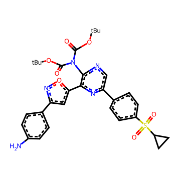 CC(C)(C)OC(=O)N(C(=O)OC(C)(C)C)c1ncc(-c2ccc(S(=O)(=O)C3CC3)cc2)nc1-c1cc(-c2ccc(N)cc2)no1